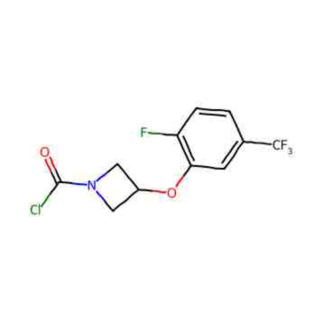 O=C(Cl)N1CC(Oc2cc(C(F)(F)F)ccc2F)C1